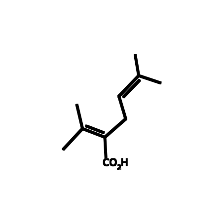 CC(C)=CCC(C(=O)O)=C(C)C